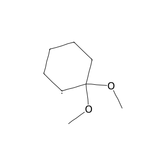 COC1(OC)[CH]CCCC1